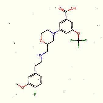 COc1cc(CCNCC2CN(c3cc(OC(F)(F)F)cc(C(=O)O)c3)CCO2)ccc1F